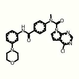 CN(C(=O)n1ccc2c(Cl)ncnc21)c1ccc(C(=O)Nc2cccc(N3CCOCC3)c2)cc1